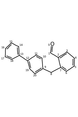 O=Cc1ccccc1Cc1ccc(-c2ccccc2)cc1